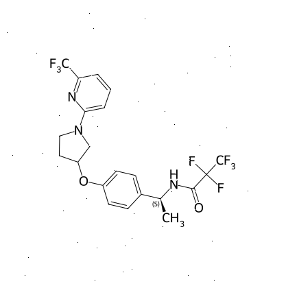 C[C@H](NC(=O)C(F)(F)C(F)(F)F)c1ccc(OC2CCN(c3cccc(C(F)(F)F)n3)C2)cc1